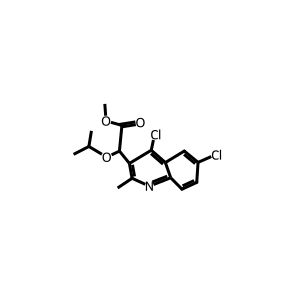 COC(=O)C(OC(C)C)c1c(C)nc2ccc(Cl)cc2c1Cl